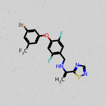 C=C(NCc1cc(F)c(Oc2cc(Br)cc(C(F)(F)F)c2)cc1F)c1ncns1